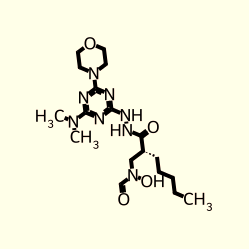 CCCCC[C@H](CN(O)C=O)C(=O)NNc1nc(N(C)C)nc(N2CCOCC2)n1